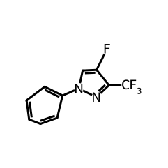 Fc1cn(-c2ccccc2)nc1C(F)(F)F